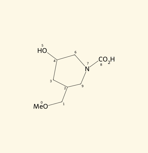 COCC1CC(O)CN(C(=O)O)C1